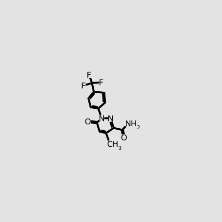 Cc1cc(=O)n(-c2ccc(C(F)(F)F)cc2)nc1C(N)=O